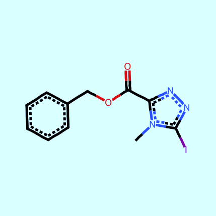 Cn1c(I)nnc1C(=O)OCc1ccccc1